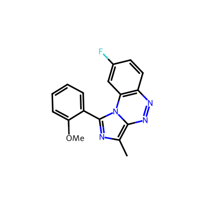 COc1ccccc1-c1nc(C)c2nnc3ccc(F)cc3n12